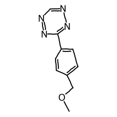 COCc1ccc(-c2nncnn2)cc1